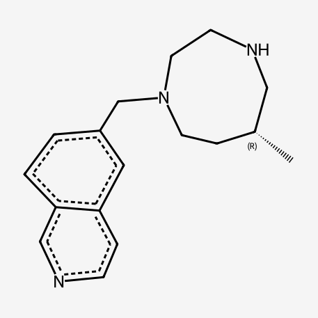 C[C@@H]1CCN(Cc2ccc3cnccc3c2)CCNC1